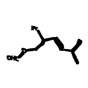 C=C(C)/C=C/C(COC=O)C(C)C